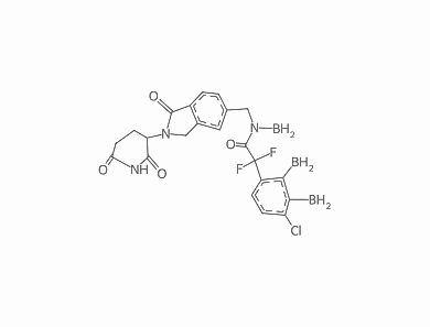 Bc1c(Cl)ccc(C(F)(F)C(=O)N(B)Cc2ccc3c(c2)CN(C2CCC(=O)NC2=O)C3=O)c1B